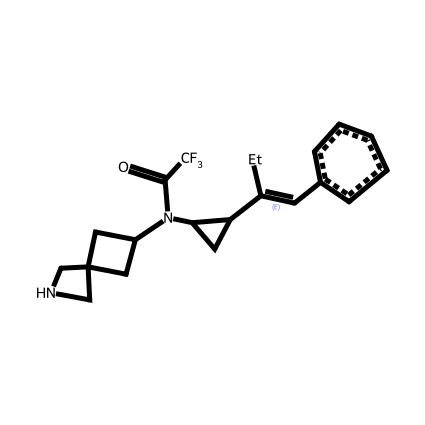 CC/C(=C\c1ccccc1)C1CC1N(C(=O)C(F)(F)F)C1CC2(CNC2)C1